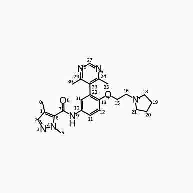 Cc1cnn(C)c1C(=O)Nc1ccc(OCCN2CCCC2)c(-c2c(C)ncnc2C)c1